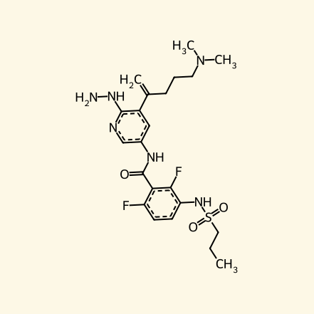 C=C(CCCN(C)C)c1cc(NC(=O)c2c(F)ccc(NS(=O)(=O)CCC)c2F)cnc1NN